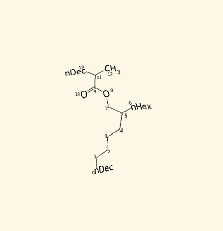 CCCCCCCCCCCCCCC(CCCCCC)COC(=O)C(C)CCCCCCCCCC